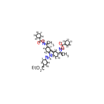 CCOC(=O)c1ccc(N=Cn2c3ccc(C(C)=NOC(=O)c4ccccc4)cc3c3cc(C(C)=NOC(=O)c4ccccc4)ccc32)cc1